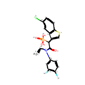 C=CN(C(=O)C(c1csc2ccc(Cl)cc12)P(=O)(O)O)c1ccc(F)c(F)c1